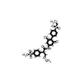 CCS(=O)(=O)c1ccc(-c2c(Cl)cc(NC(=O)C(COC)c3ccc(S(C)(=O)=O)cc3)cc2Cl)cc1